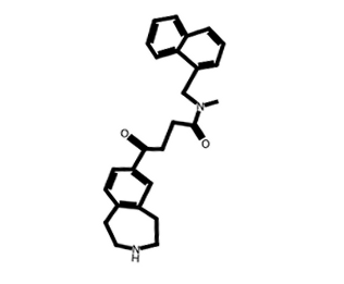 CN(Cc1cccc2ccccc12)C(=O)CCC(=O)c1ccc2c(c1)CCNCC2